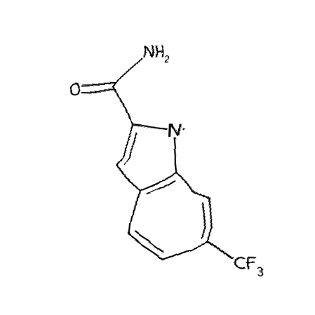 NC(=O)C1=Cc2ccc(C(F)(F)F)cc2[N]1